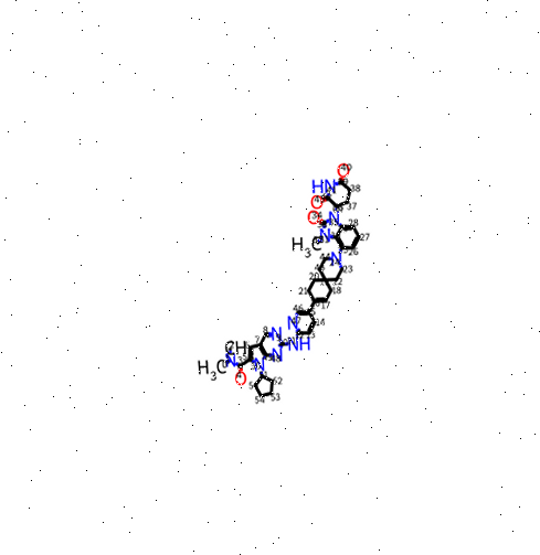 CN(C)C(=O)c1cc2cnc(Nc3ccc(C4=CCC5(CC4)CCN(c4cccc6c4n(C)c(=O)n6[C@H]4CCC(=O)NC4=O)CC5)cn3)nc2n1C1CCCC1